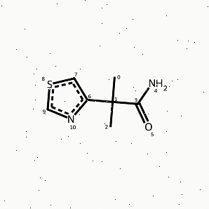 CC(C)(C(N)=O)c1cscn1